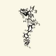 CCC1(NC(=O)NC(C)(C)c2ccc(-c3ccc(S(C)(=O)=O)cc3)cc2)CN2CCC1CC2